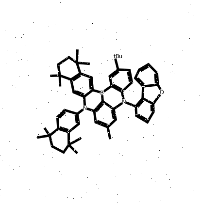 Cc1cc2c3c(c1)N(c1cccc4oc5ccccc5c14)c1ccc(C(C)(C)C)cc1B3c1cc3c(cc1N2c1ccc2c(c1)C(C)(C)CCC2(C)C)C(C)(C)CCC3(C)C